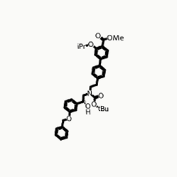 COC(=O)c1ccc(-c2ccc(CCN(C[C@H](O)c3cccc(OCc4ccccc4)c3)C(=O)OC(C)(C)C)cc2)cc1OC(C)C